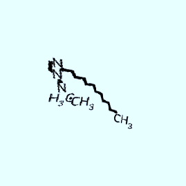 CC.CCCCCCCCCCCCc1nccn1C#N